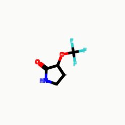 O=C1NC[CH]C1OC(F)(F)F